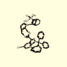 O=P(O)(O)C1C2C=CC(CC2)C1n1ccc2cnc(-c3nn(C(c4ccccc4)(c4ccccc4)c4ccccc4)c4ncc(Cl)cc34)nc21